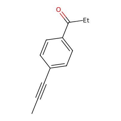 CC#Cc1ccc(C(=O)CC)cc1